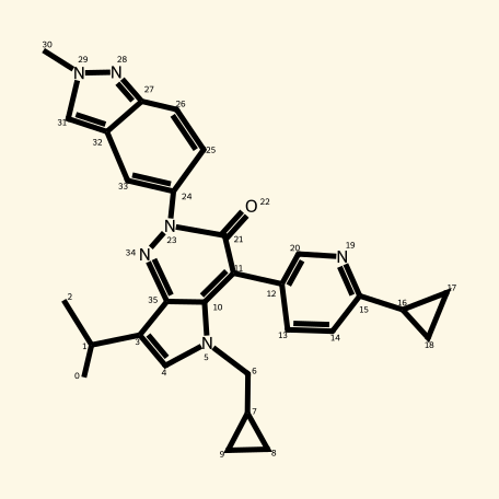 CC(C)c1cn(CC2CC2)c2c(-c3ccc(C4CC4)nc3)c(=O)n(-c3ccc4nn(C)cc4c3)nc12